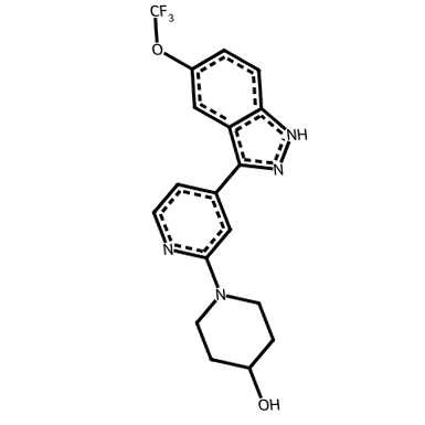 OC1CCN(c2cc(-c3n[nH]c4ccc(OC(F)(F)F)cc34)ccn2)CC1